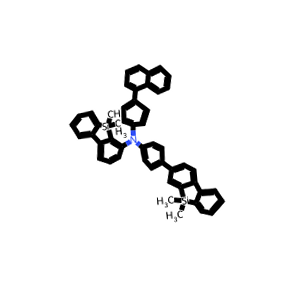 C[Si]1(C)c2ccccc2-c2ccc(-c3ccc(N(c4ccc(-c5cccc6ccccc56)cc4)c4cccc5c4[Si](C)(C)c4ccccc4-5)cc3)cc21